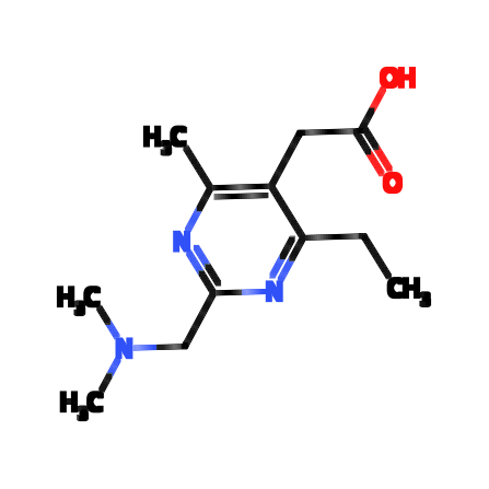 CCc1nc(CN(C)C)nc(C)c1CC(=O)O